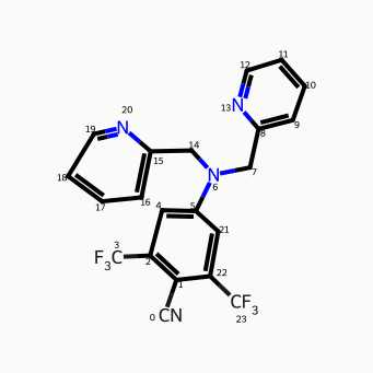 N#Cc1c(C(F)(F)F)cc(N(Cc2ccccn2)Cc2ccccn2)cc1C(F)(F)F